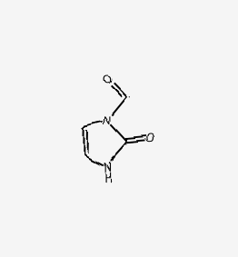 O=[C]n1cc[nH]c1=O